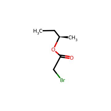 CC[C@@H](C)OC(=O)CBr